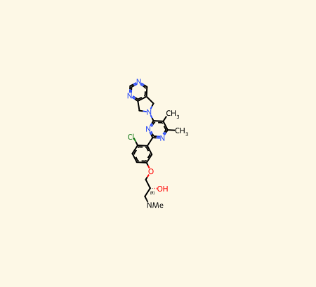 CNC[C@@H](O)COc1ccc(Cl)c(-c2nc(C)c(C)c(N3Cc4cncnc4C3)n2)c1